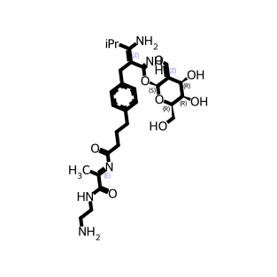 C/C(=N\C(=O)CCCc1ccc(C/C(C(=N)O[C@@H]2O[C@H](CO)[C@H](O)[C@H](O)/C2=C/O)=C(/N)C(C)C)cc1)C(=O)NCCN